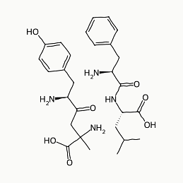 CC(C)C[C@H](NC(=O)[C@@H](N)Cc1ccccc1)C(=O)O.CC(N)(CC(=O)[C@@H](N)Cc1ccc(O)cc1)C(=O)O